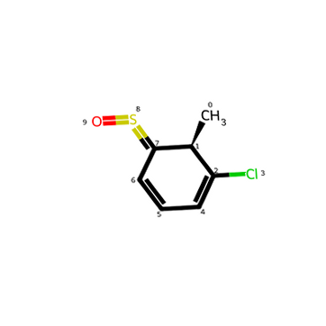 C[C@H]1C(Cl)=CC=CC1=S=O